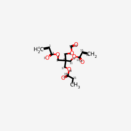 C=CC(=O)OCC(COC=O)(COC(=O)C=C)COC(=O)CC